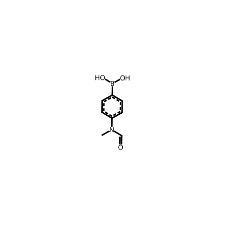 CN(C=O)c1ccc(B(O)O)cc1